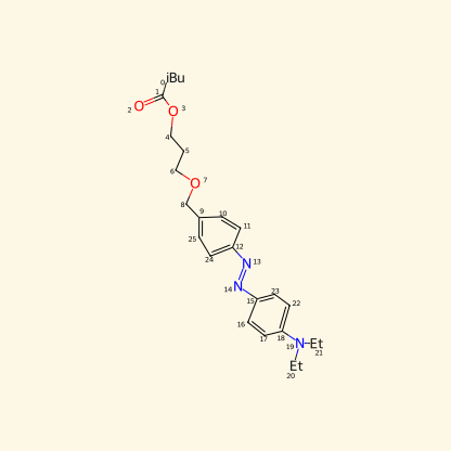 CCC(C)C(=O)OCCCOCc1ccc(N=Nc2ccc(N(CC)CC)cc2)cc1